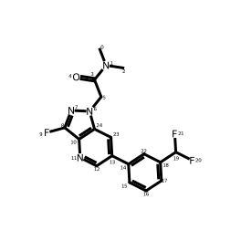 CN(C)C(=O)Cn1nc(F)c2ncc(-c3cccc(C(F)F)c3)cc21